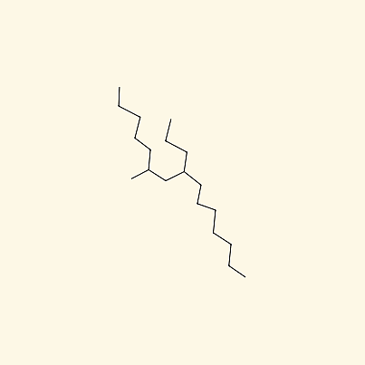 CCCCCCCC(CCC)CC(C)CCCCC